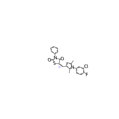 Cc1cc(/C=C2/SC(=O)N(c3ccccc3)C2=O)c(C)n1-c1ccc(F)c(Cl)c1